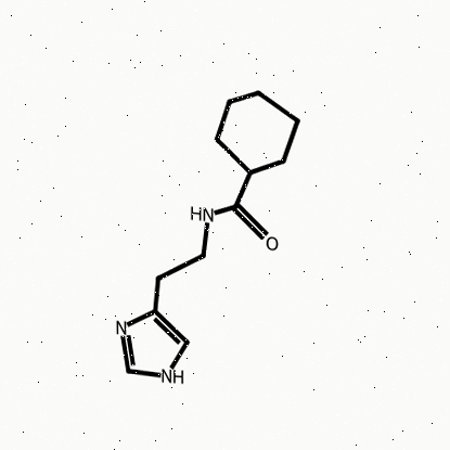 O=C(NCCc1c[nH]cn1)C1CCCCC1